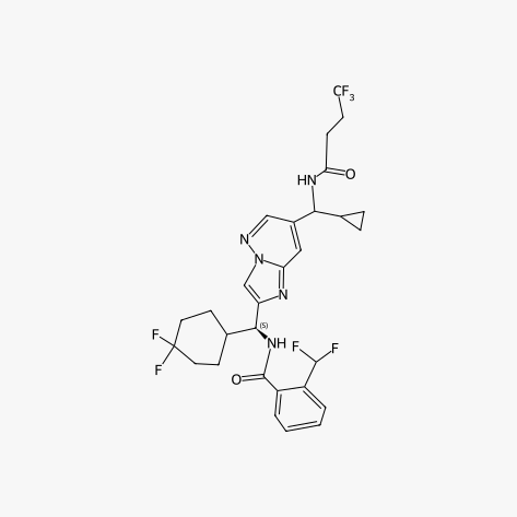 O=C(CCC(F)(F)F)NC(c1cnn2cc([C@@H](NC(=O)c3ccccc3C(F)F)C3CCC(F)(F)CC3)nc2c1)C1CC1